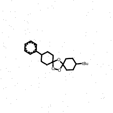 CC(C)(C)C1CCC2(CC1)OOC1(CCC(c3ccccc3)CC1)O2